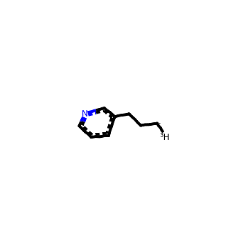 [3H][CH]CCc1cccnc1